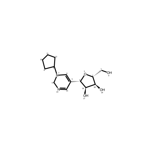 OC[C@H]1O[C@@H](C2=CN(C3CCCC3)CN=C2)[C@H](O)[C@@H]1O